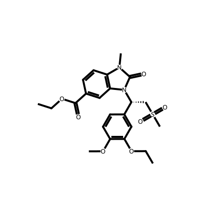 CCOC(=O)c1ccc2c(c1)n([C@H](CS(C)(=O)=O)c1ccc(OC)c(OCC)c1)c(=O)n2C